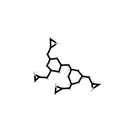 C(C1CC(CC2CS2)CC(CC2CS2)C1)C1CC(CC2CS2)CC(CC2CS2)C1